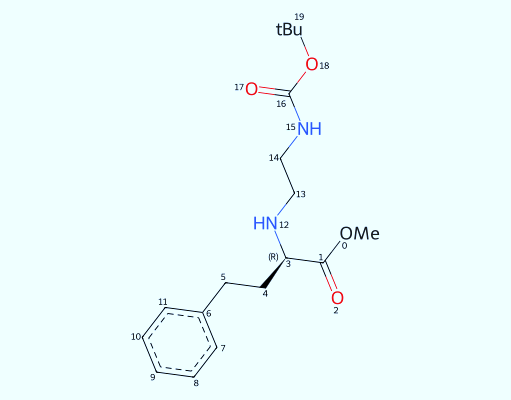 COC(=O)[C@@H](CCc1ccccc1)NCCNC(=O)OC(C)(C)C